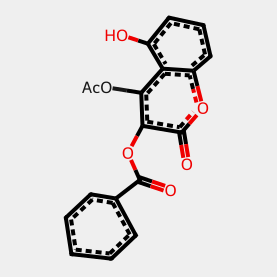 CC(=O)Oc1c(OC(=O)c2ccccc2)c(=O)oc2cccc(O)c12